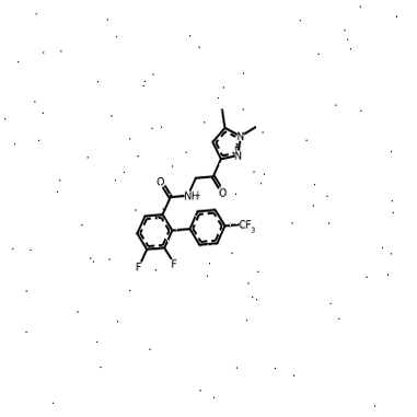 Cc1cc(C(=O)CNC(=O)c2ccc(F)c(F)c2-c2ccc(C(F)(F)F)cc2)nn1C